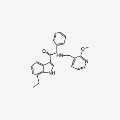 CCc1cccc2c(C(=O)C(NCc3cccnc3OC)c3ccccc3)c[nH]c12